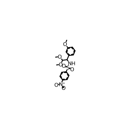 COc1cccc(C(NS(=O)(=O)c2ccc([N+](=O)[O-])cc2)C(OC)OC)c1